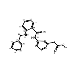 COC(=O)Cc1cccc(NC(=O)c2ccccc2NCc2ccncc2)c1